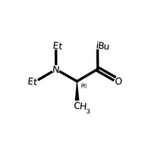 CCC(C)C(=O)[C@@H](C)N(CC)CC